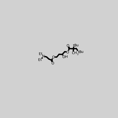 CCN(CC)CCC(=O)OCCC(O)COC(=O)C(C)(CC(C)(C)C)C(C)(C)C